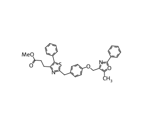 COC(=O)CCc1nc(Cc2ccc(OCc3nc(-c4ccccc4)oc3C)cc2)sc1-c1ccccc1